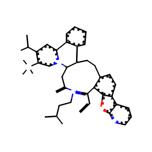 C=C/C1=[N+](\CCC(C)C)C(=C)CC2C(CCc3ccc4c(oc5ncccc54)c31)c1ccccc1-c1cc(C(C)C)c([Si](C)(C)C)c[n+]12